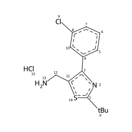 CC(C)(C)c1nc(-c2cccc(Cl)c2)c(CN)s1.Cl